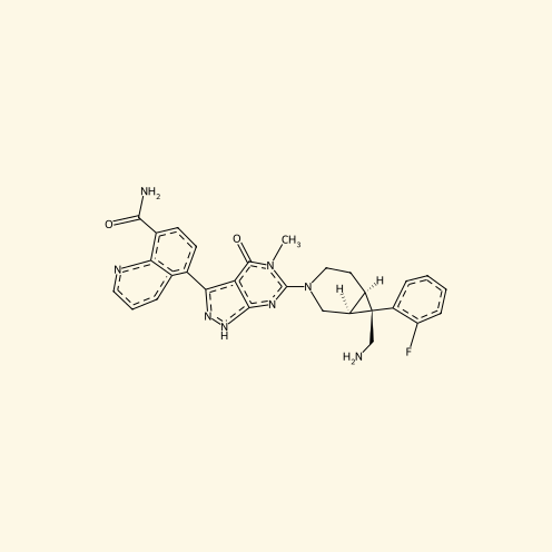 Cn1c(N2CC[C@@H]3[C@H](C2)[C@@]3(CN)c2ccccc2F)nc2[nH]nc(-c3ccc(C(N)=O)c4ncccc34)c2c1=O